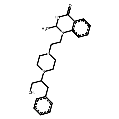 CCC(Cc1ccccc1)N1CCN(CCN2c3ccccc3C(=O)NC2C)CC1